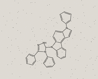 c1ccc(C2=NNC(n3c4ccccc4c4c5ccn(-c6ccccc6)c5ccc43)N2c2ccccc2)cc1